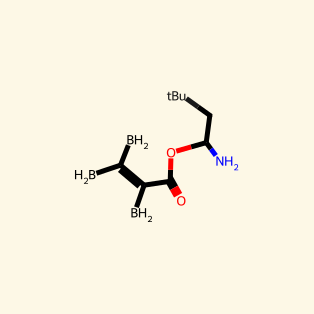 BC(B)=C(B)C(=O)OC(N)CC(C)(C)C